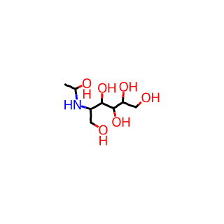 CC(O)NC(CO)C(O)C(O)C(O)CO